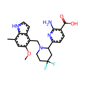 COc1cc(C)c2[nH]ccc2c1CN1CCC(F)(F)CC1c1ccc(C(=O)O)c(N)n1